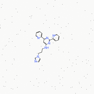 c1ccc(-c2cc(NCCCn3ccnc3)nc(-c3ccccn3)n2)nc1